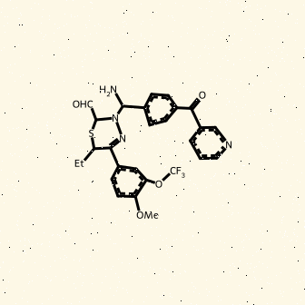 CCC1SC(C=O)N(C(N)c2ccc(C(=O)c3cccnc3)cc2)N=C1c1ccc(OC)c(OC(F)(F)F)c1